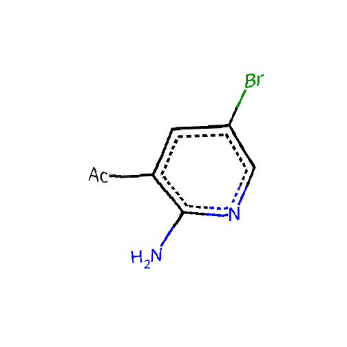 CC(=O)c1cc(Br)cnc1N